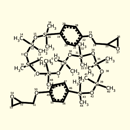 C[Si](C)(O[Si](C)(C)O[Si](C)(C)O[Si](C)(C)O[Si](C)(C)c1ccc(OCC2CO2)cc1)O[Si](C)(C)O[Si](C)(C)O[Si](C)(C)O[Si](C)(C)c1ccc(OCC2CO2)cc1